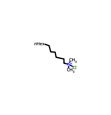 CCCCCCCCCCCC[N+](C)(C)Cl